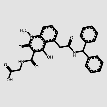 Cn1c(=O)c(C(=O)NCC(=O)O)c(O)c2c(CC(=O)NC(c3ccccc3)c3ccccc3)cccc21